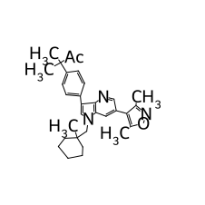 CC(=O)C(C)(C)c1ccc(-c2cn(CC3(C)CCCCC3)c3cc(-c4c(C)noc4C)cnc23)cc1